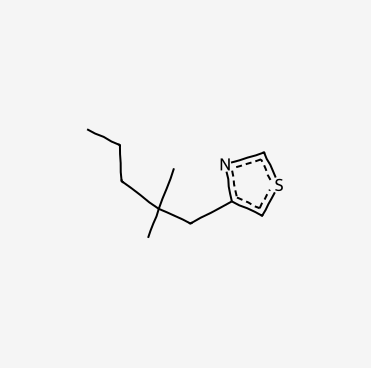 CCCC(C)(C)Cc1cscn1